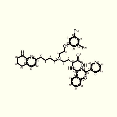 CC(=O)[C@H](CCN(CCCCc1ccc2c(n1)NCCC2)CCOc1cc(F)cc(F)c1)Nc1c2ccccc2nc(-c2cccnc2)[n+]1O